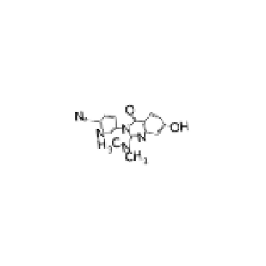 CN(C)c1nc2cc(O)ccc2c(=O)n1-c1ccc(C#N)nc1